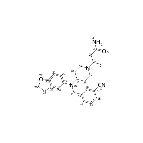 CC(CC(N)=O)N1CCC(N(Cc2cccc(C#N)c2)c2ccc3c(c2)CCO3)CC1